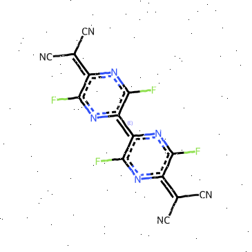 N#CC(C#N)=c1nc(F)/c(=c2\nc(F)c(=C(C#N)C#N)nc2F)nc1F